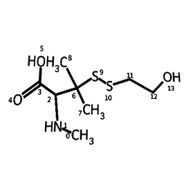 CNC(C(=O)O)C(C)(C)SSCCO